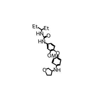 CCC(CC)NC(=O)Nc1ccc(Oc2ccc(NC3CCOC3)cc2)c(OC)c1